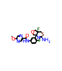 COc1cnc(C(=O)Nc2ccc(F)c(C34COCC3(F)CSC(N)=N4)c2)cn1